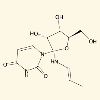 C/C=C/N[C@@]1(n2ccc(=O)[nH]c2=O)O[C@H](CO)[C@@H](O)[C@H]1O